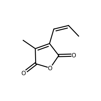 C/C=C\C1=C(C)C(=O)OC1=O